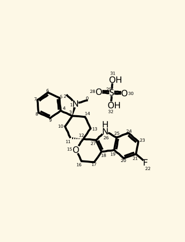 CN(C)[C@]1(c2ccccc2)CC[C@@]2(CC1)OCCc1c3cc(F)ccc3[nH]c12.O=S(=O)(O)O